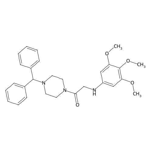 COc1cc(NCC(=O)N2CCN(C(c3ccccc3)c3ccccc3)CC2)cc(OC)c1OC